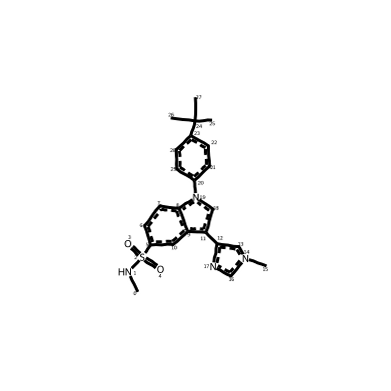 CNS(=O)(=O)c1ccc2c(c1)c(-c1cn(C)cn1)cn2-c1ccc(C(C)(C)C)cc1